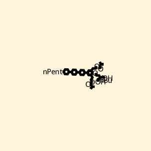 C=C(C)C(=O)OCCc1cc(C2CCC(C3CCC(C4CCC(CCCCC)CC4)CC3)CC2)cc(CCOC(=O)C(=C)C)c1OCCC(CO)(CO)CCCC